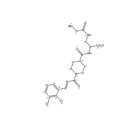 CC(C)(C)OC(=O)NCC(NC(=O)C1CCN(C(=O)C=Cc2cccc(Cl)c2Cl)CC1)C(=O)O